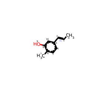 C/C=C/c1ccc(C)c(O)c1